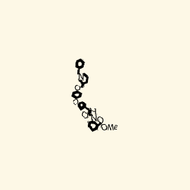 COC(=O)c1ccccc1NC(=O)Cc1ccc(Oc2ccc(OCC3CCCN(Cc4ccccc4)C3)cc2)cc1